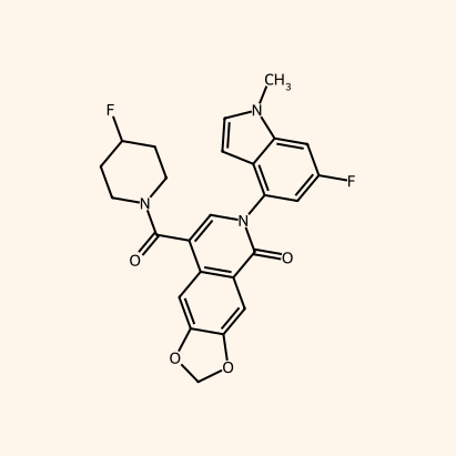 Cn1ccc2c(-n3cc(C(=O)N4CCC(F)CC4)c4cc5c(cc4c3=O)OCO5)cc(F)cc21